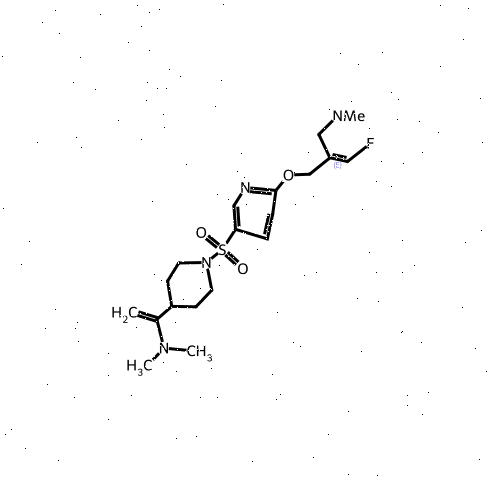 C=C(C1CCN(S(=O)(=O)c2ccc(OC/C(=C/F)CNC)nc2)CC1)N(C)C